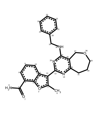 Cc1oc2c(C(N)=O)cccc2c1-c1nc2c(c(NCc3ccccc3)n1)COCCC2